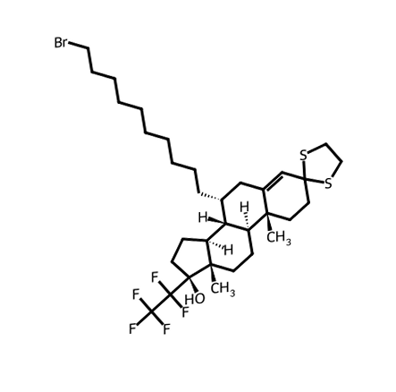 C[C@]12CCC3(C=C1C[C@@H](CCCCCCCCCCBr)[C@@H]1[C@@H]2CC[C@@]2(C)[C@H]1CC[C@@]2(O)C(F)(F)C(F)(F)F)SCCS3